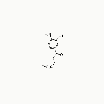 CCOC(=O)CCC(=O)c1ccc(N)c(S)c1